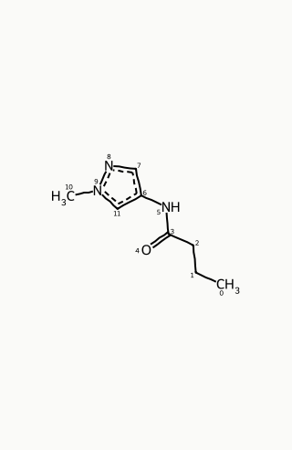 CCCC(=O)Nc1cnn(C)c1